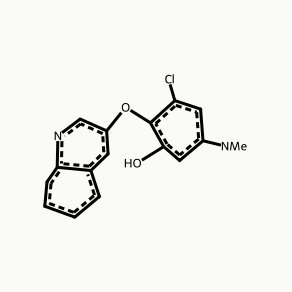 CNc1cc(O)c(Oc2cnc3ccccc3c2)c(Cl)c1